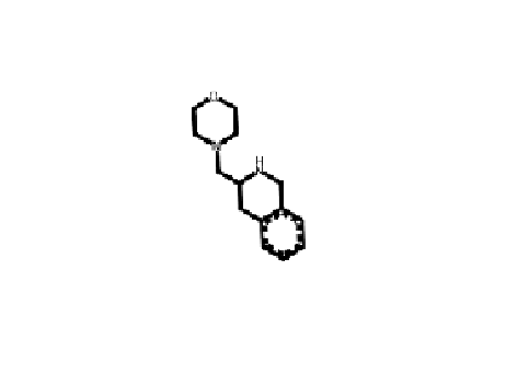 c1ccc2c(c1)CNC(CN1CCOCC1)C2